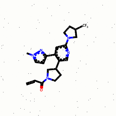 C=CC(=O)N1CCC(c2cnc(N3CCC(C(F)(F)F)C3)cc2-c2ccn(C)n2)C1